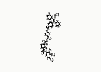 O=C1CCC(N2Cc3c(NC(=O)CCC(=O)N4CCN(CCOc5ccc(C(=C(CCCl)c6ccccc6)c6ccccc6)cc5)CC4)cccc3C2=O)C(=O)N1